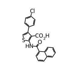 O=C(O)c1c(-c2ccc(Cl)cc2)csc1NC(=O)c1cccc2ccccc12